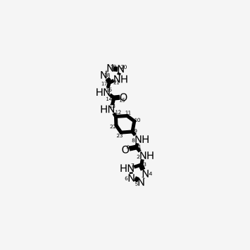 O=C(Nc1nnn[nH]1)NC1CCC(NC(=O)Nc2nnn[nH]2)CC1